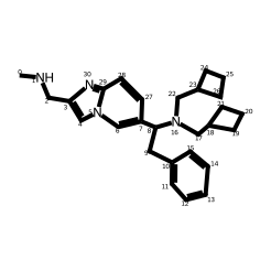 CNCc1cn2cc(C(Cc3ccccc3)N(CC3CCC3)CC3CCC3)ccc2n1